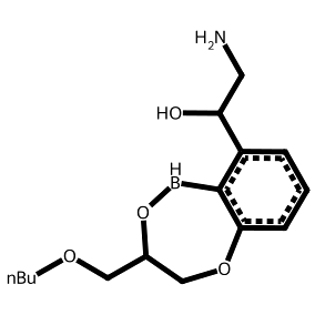 CCCCOCC1COc2cccc(C(O)CN)c2BO1